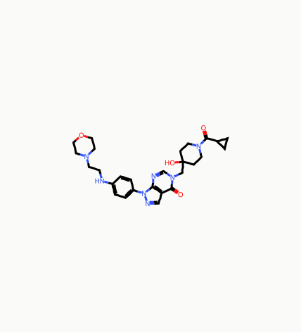 O=C(C1CC1)N1CCC(O)(Cn2cnc3c(cnn3-c3ccc(NCCN4CCOCC4)cc3)c2=O)CC1